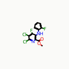 COC(=O)c1nc(Cl)c(Cl)c(F)c1Nc1ccccc1F